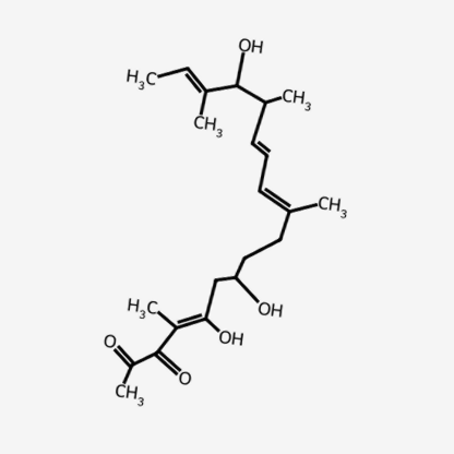 C/C=C(\C)C(O)C(C)/C=C/C=C(\C)CCC(O)C/C(O)=C(\C)C(=O)C(C)=O